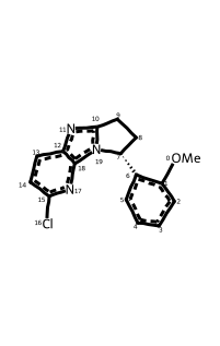 COc1ccccc1[C@H]1CCc2nc3ccc(Cl)nc3n21